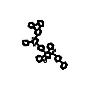 c1ccc(-c2ccc(-c3nc4ccccc4c4c(-c5ccc(-c6cc(-c7ccc8c9ccccc9c9ccccc9c8c7)nc(-c7ccccc7)n6)cc5)c5c(cc34)oc3ccccc35)cc2)cc1